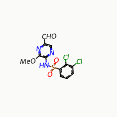 COc1nc(C=O)cnc1NS(=O)(=O)c1cccc(Cl)c1Cl